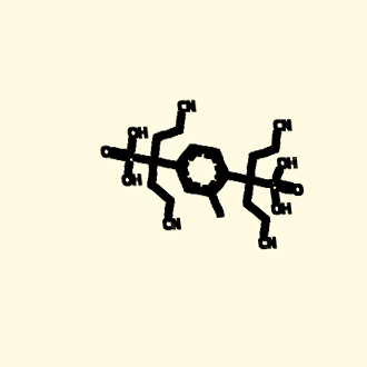 Cc1cc(C(CCC#N)(CCC#N)P(=O)(O)O)ccc1C(CCC#N)(CCC#N)P(=O)(O)O